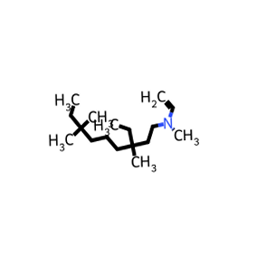 C=CN(C)CCC(C)(CC)CCCC(C)(C)CC